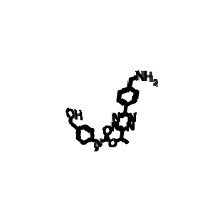 CC(OC(=O)N(C)c1ccc(CO)cc1)c1nnc(-c2ccc(CN)cc2)nn1